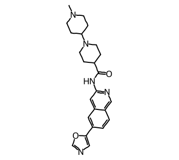 CN1CCC(N2CCC(C(=O)Nc3cc4cc(-c5cnco5)ccc4cn3)CC2)CC1